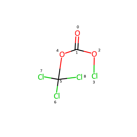 O=C(OCl)OC(Cl)(Cl)Cl